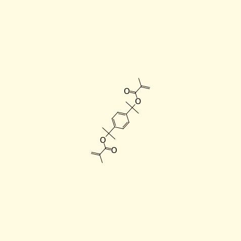 C=C(C)C(=O)OC(C)(C)c1ccc(C(C)(C)OC(=O)C(=C)C)cc1